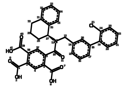 O=C(O)c1cc(C(=O)O)c(C(=O)N(Cc2cccc(-c3ccccc3Cl)c2)[C@H]2CCCc3ccccc32)cc1C(=O)O